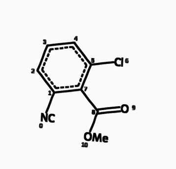 [C-]#[N+]c1cccc(Cl)c1C(=O)OC